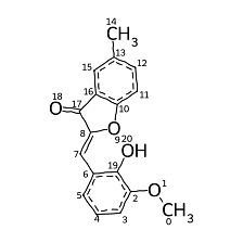 COc1cccc(/C=C2\Oc3ccc(C)cc3C2=O)c1O